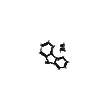 Cl.[AlH3].c1ccc2c(c1)[nH]c1ccccc12